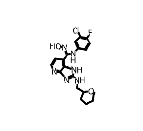 O/N=C(/Nc1ccc(F)c(Cl)c1)c1ccnc2nc(NCC3CCCCO3)[nH]c12